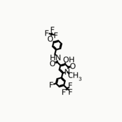 Cn1c(-c2cc(F)cc(C(F)(F)F)c2)cc(C(=O)NCc2cccc(OC(F)(F)F)c2)c(O)c1=O